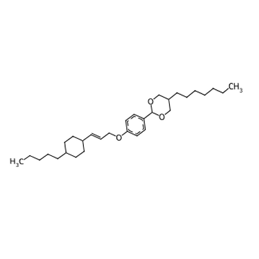 CCCCCCCC1COC(c2ccc(OC/C=C/C3CCC(CCCCC)CC3)cc2)OC1